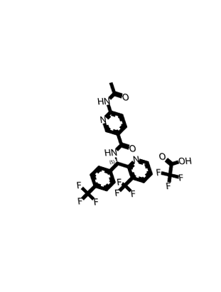 CC(=O)Nc1ccc(C(=O)N[C@@H](c2ccc(C(F)(F)F)cc2)c2ncccc2C(F)(F)F)cn1.O=C(O)C(F)(F)F